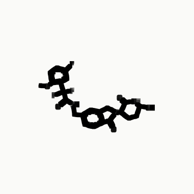 COc1ccc(F)cc1C(F)(F)C(=O)NCc1ccc2c(c1)CN(C1CCC(O)NC1=O)C2=O